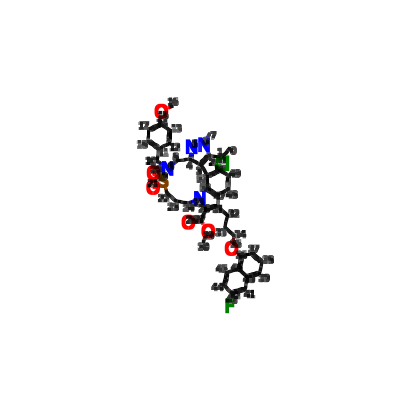 CCc1c2c(nn1C)CN(Cc1ccc(OC)cc1)S(=O)(=O)CCCn1c(C(=O)OC)c(CCCOc3cccc4cc(F)ccc34)c3ccc(Cl)c-2c31